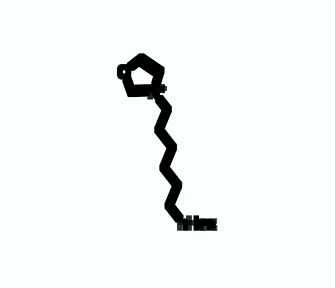 CCCCCCCCCCCC[n+]1ccoc1